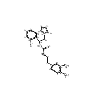 O=C(NCCc1ccc(O)c(O)c1)OC(Cn1ncnn1)c1ccccc1Cl